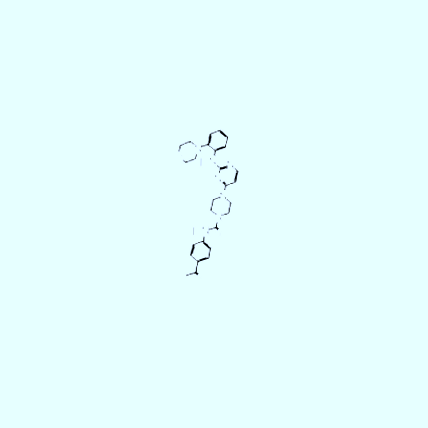 CC(=O)c1ccc(NC(=O)N2CCN(c3ccnc(Nc4ccccc4N4CCOCC4)n3)CC2)cc1